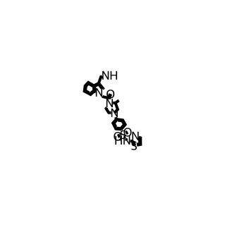 CC1CN(c2ccc(S(=O)(=O)Nc3nccs3)cc2)CCN1C(=O)Cn1cc(C=N)c2ccccc21